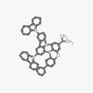 CC(C)c1cc2c3c(c1)-n1c4ccc(-n5c6ccccc6c6ccccc65)cc4c4cc(-n5c6ccccc6c6ccccc65)cc(c41)B3c1cc(-c3ccccc3)ccc1O2